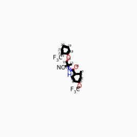 CC1C=C(OC(F)(F)F)C=CC1C(=O)NC(C)(C#N)COc1ccccc1C(F)(F)F